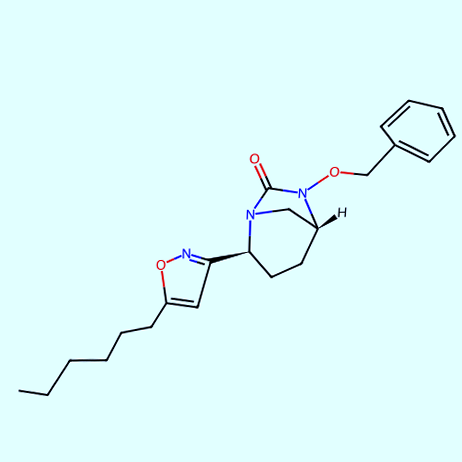 CCCCCCc1cc([C@@H]2CC[C@@H]3CN2C(=O)N3OCc2ccccc2)no1